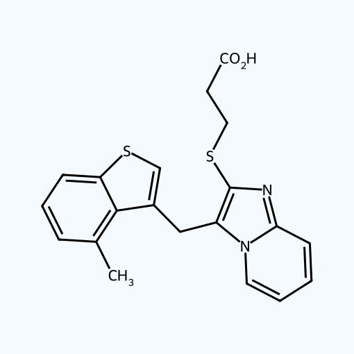 Cc1cccc2scc(Cc3c(SCCC(=O)O)nc4ccccn34)c12